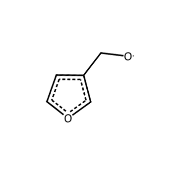 [O]Cc1ccoc1